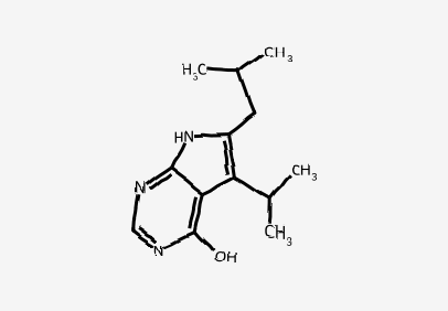 CC(C)Cc1[nH]c2ncnc(O)c2c1C(C)C